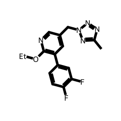 CCOc1ncc(Cn2nnc(C)n2)cc1-c1ccc(F)c(F)c1